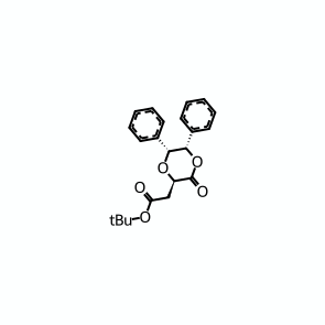 CC(C)(C)OC(=O)C[C@H]1O[C@H](c2ccccc2)[C@H](c2ccccc2)OC1=O